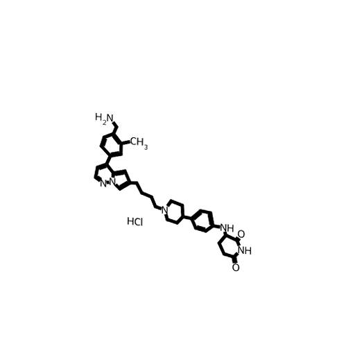 Cc1cc(-c2ccnn3cc(CCCCN4CCC(c5ccc(NC6CCC(=O)NC6=O)cc5)CC4)cc23)ccc1CN.Cl